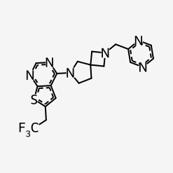 FC(F)(F)Cc1cc2c(N3CCC4(CN(Cc5cnccn5)C4)C3)ncnc2s1